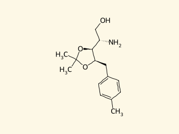 Cc1ccc(C[C@H]2OC(C)(C)O[C@H]2[C@@H](N)CO)cc1